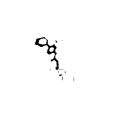 CCOC(=O)CC(Cl)Cc1ccc(C2CCCCC2)c(SC)c1